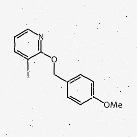 COc1ccc(COc2ncccc2I)cc1